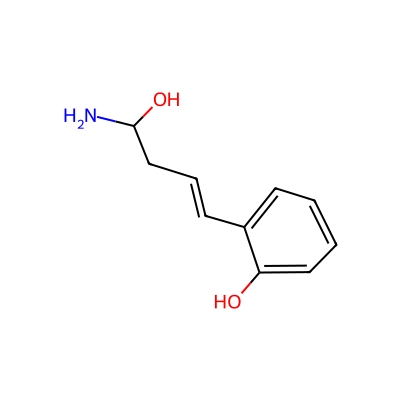 NC(O)CC=Cc1ccccc1O